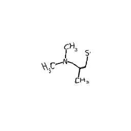 CC(C[S])N(C)C